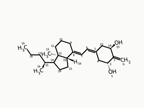 C=C1[C@H](O)CC(=C/C=C2\CCC[C@]3(C)C([C@@H](C)CCC)CC[C@@H]23)C[C@H]1O